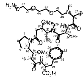 CC[C@H](C)[C@@H]([C@@H](CC(=O)N1CCC[C@H]1[C@H](OC)[C@@H](C)C(=O)N[C@@H](Cc1ccccc1)C(=O)O)OC)N(C)C(=O)[C@@H](NC(=O)C(C(C)C)N(C)CCOCCOCCON)C(C)C